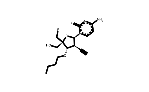 C#C[C@@H]1[C@H](n2ccc(N)nc2=O)O[C@@](CO)(CF)[C@H]1OCCCC